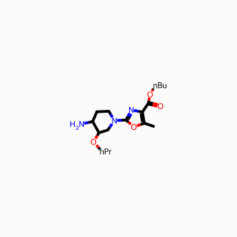 CCCCOC(=O)c1nc(N2CCC(N)C(OCCC)C2)oc1C